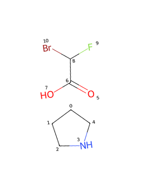 C1CCNC1.O=C(O)C(F)Br